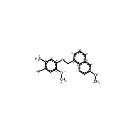 COc1cnc2c(COc3cc(N)c(F)cc3OC)cccc2c1